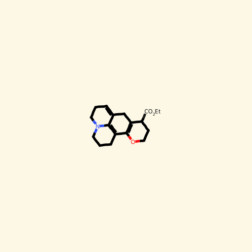 CCOC(=O)C1CCOC2=C1CC1=CCCN3CCCC2=C13